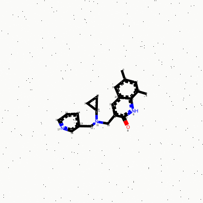 Cc1cc(C)c2[nH]c(=O)c(CN(Cc3cccnc3)C3CC3)cc2c1